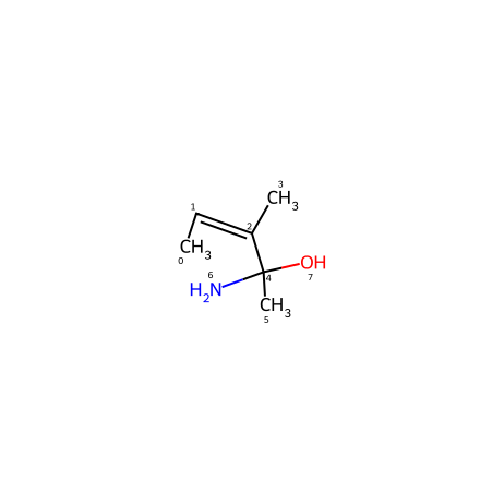 CC=C(C)C(C)(N)O